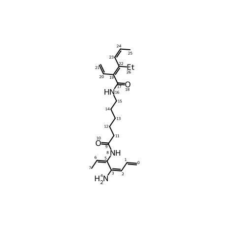 C=C/C=C(N)\C(=C/C)NC(=O)CCCCCNC(=O)/C(C=C)=C(/C=C\C)CC